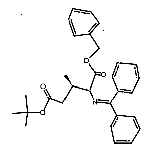 C[C@H](CC(=O)OC(C)(C)C)C(N=C(c1ccccc1)c1ccccc1)C(=O)OCc1ccccc1